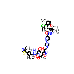 Cc1ncsc1-c1ccc([C@H](C)NC(=O)[C@@H]2C[C@@H](O)CN2C(=O)C(c2cc(CCN3CCN(c4ccc(C(=O)N[C@H]5C(C)(C)[C@H](Oc6ccc(C#N)c(Cl)c6)C5(C)C)cn4)CC3)no2)C(C)C)cc1